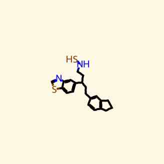 SNCCC(CCc1ccc2c(c1)CCC2)c1ccc2scnc2c1